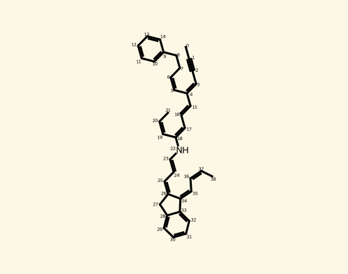 CC#C/C=C(\C=C/CCc1ccccc1)/C=C/C=C(\C=C/C)N/C=C/C=C1/Cc2ccccc2/C1=C/C=C\C